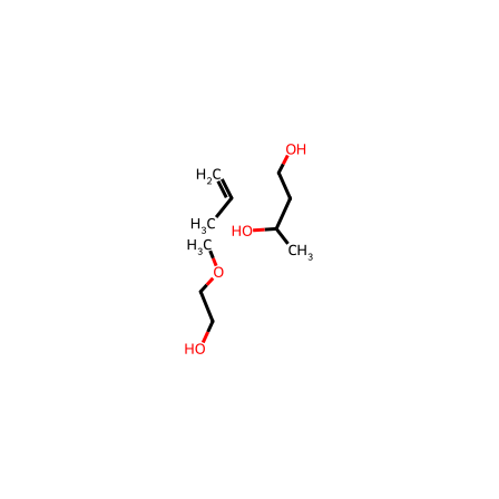 C=CC.CC(O)CCO.COCCO